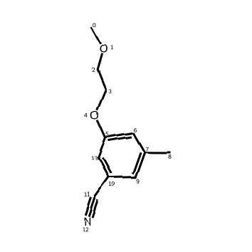 COCCOc1cc(C)cc(C#N)c1